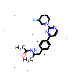 CC(=O)NC(C)Cc1ccc(-c2ccnc(N3CCCC(F)C3)n2)cc1